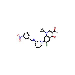 CC(=O)c1cn(C2CC2)c2cc(N3CCCC[C@@H](/N=C/c4cccc([N+](=O)[O-])c4)C3)c(F)cc2c1=O